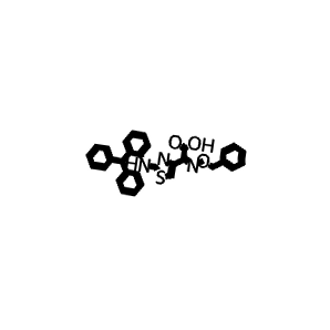 O=C(O)C(=NOCc1ccccc1)c1csc(Nc2ccccc2C(c2ccccc2)c2ccccc2)n1